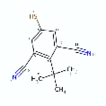 CC(C)(C)c1c(C#N)cc(S)cc1C#N